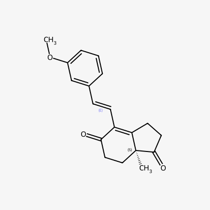 COc1cccc(/C=C/C2=C3CCC(=O)[C@@]3(C)CCC2=O)c1